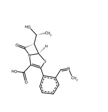 C/N=C\c1ccccc1C1=C(C(=O)O)N2C(=O)[C@H]([C@@H](C)O)[C@H]2S1